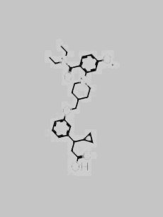 CCN(CC)C(=O)c1ccc(OC)cc1N1CCC(COc2cccc(C(CC(=O)O)C3CC3)c2)CC1